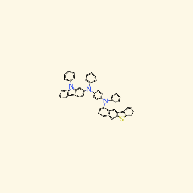 c1ccc(N(c2ccc(N(c3ccccc3)c3cccc4cc5sc6ccccc6c5cc34)cc2)c2ccc3c4ccccc4n(-c4ccccc4)c3c2)cc1